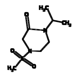 CC(C)N1CCN(S(C)(=O)=O)CC1=O